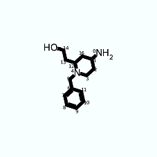 NC1CCN(Cc2ccccc2)C(CCO)C1